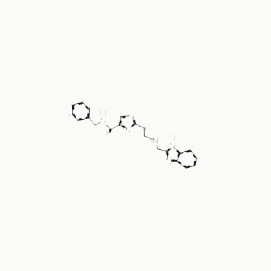 O=C(NCc1ccccc1)c1csc(CCNCc2nc3ccccc3[nH]2)n1